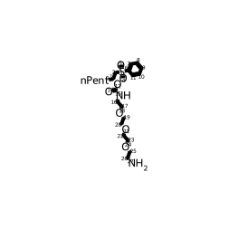 CCCCCC(CS(=O)(=O)c1ccccc1)OC(=O)NCCOCCOCCOCCN